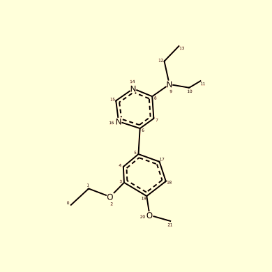 CCOc1cc(-c2cc(N(CC)CC)ncn2)ccc1OC